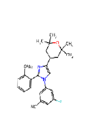 COc1ccccc1-c1nc(C2CC(C)(C)OC(C)(C)C2)cn1-c1cc(F)cc(C#N)c1